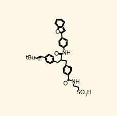 CC(C)(C)/C=C/c1ccc(CC(Cc2ccc(C(=O)NCCS(=O)(=O)O)cc2)C(=O)Nc2ccc(-c3cc4ccccc4o3)cc2)cc1